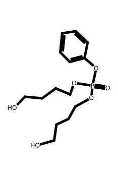 O=P(OCCCCO)(OCCCCO)Oc1ccccc1